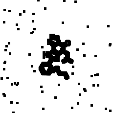 CCCOc1ccccc1-c1nc2c([nH]1)c1nncn1c(=O)n2CC(C)C